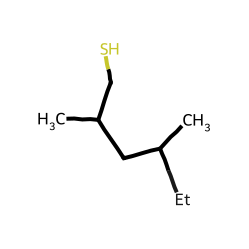 CCC(C)CC(C)CS